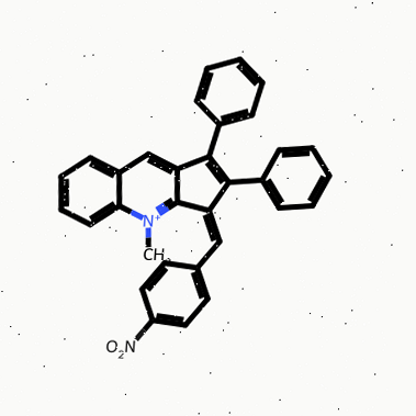 C[n+]1c2c(cc3ccccc31)C(c1ccccc1)=C(c1ccccc1)C2=Cc1ccc([N+](=O)[O-])cc1